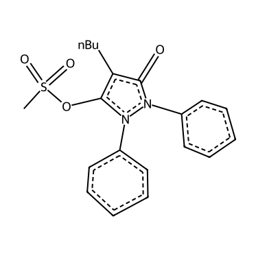 CCCCc1c(OS(C)(=O)=O)n(-c2ccccc2)n(-c2ccccc2)c1=O